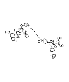 C#Cc1c(F)ccc2cc(O)cc(-c3ncc4c(N5CC6CCC(C5)N6)nc(OC5CCN(CCCCCCCCCC(=O)N6CCN(C(=O)C[C@H](NC(=O)C7C[C@@H](O)CN7C=O)c7ccc(-c8scnc8C)cc7)CC6)C5)nc4c3F)c12